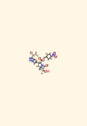 CC(C)C(=O)c1ncn2cc(C3=C(C(=O)OCc4ccc([N+](=O)[O-])cc4)N4C(=O)[C@H]([C@@H](C)O)[C@H]4C3)sc12